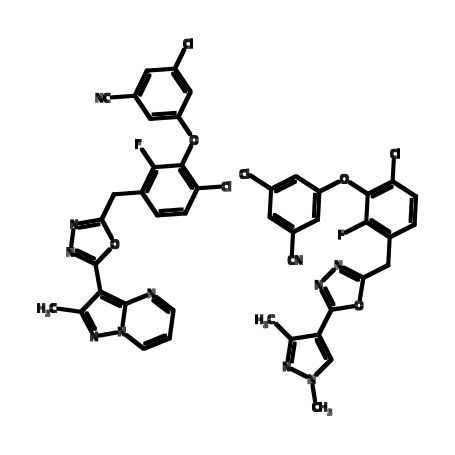 Cc1nn(C)cc1-c1nnc(Cc2ccc(Cl)c(Oc3cc(Cl)cc(C#N)c3)c2F)o1.Cc1nn2cccnc2c1-c1nnc(Cc2ccc(Cl)c(Oc3cc(Cl)cc(C#N)c3)c2F)o1